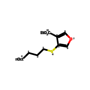 CCCCCCCCCCCSc1cocc1C(=O)OCC